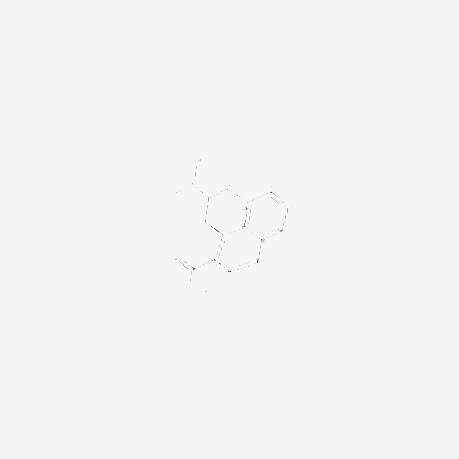 COC(=O)c1ccc2cccc3c2c1CC(N(C)C)C3